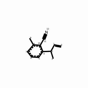 C=C[C](C)c1cccc(C)c1C#N